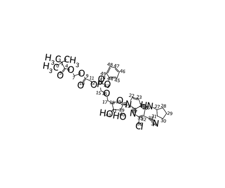 CC(C)(C)C(=O)OCOC(=O)COP(=O)(COCC1O[C@@H](n2ccc3c(NC4CCCC4)c(C#N)c(Cl)nc32)[C@H](O)[C@@H]1O)Oc1ccccc1